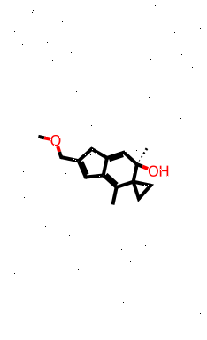 COCC1=CC2=C(C)C3(CC3)[C@](C)(O)C=C2C1